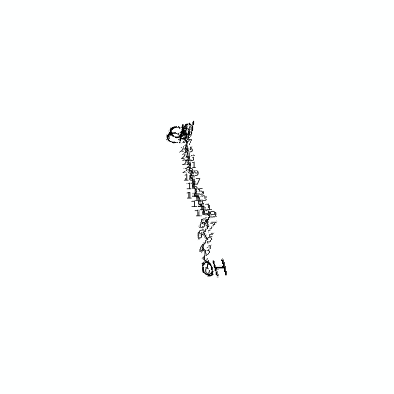 OCCCCCCCCCCCCCCCCCCCCCCCCCCCCC[Si](Cl)(Cl)Cl